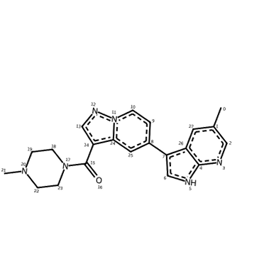 Cc1cnc2[nH]cc(-c3ccn4ncc(C(=O)N5CCN(C)CC5)c4c3)c2c1